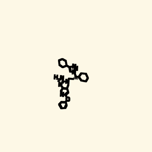 NC1=Nc2cnc(Oc3ccccc3)cc2CN1CC[C@@H](C1CCCCC1)n1cc(C2CCCCC2)nn1